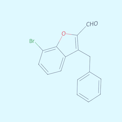 O=Cc1oc2c(Br)cccc2c1Cc1ccccc1